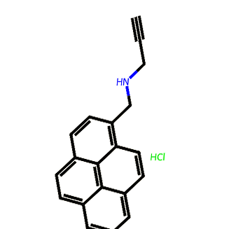 C#CCNCc1ccc2ccc3cccc4ccc1c2c34.Cl